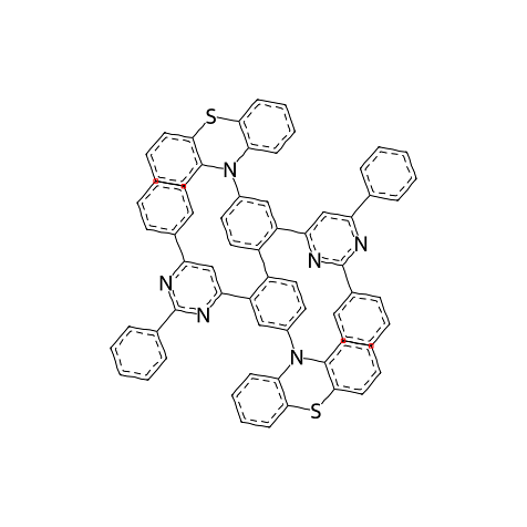 c1ccc(-c2cc(-c3cc(N4c5ccccc5Sc5ccccc54)ccc3-c3ccc(N4c5ccccc5Sc5ccccc54)cc3-c3cc(-c4ccccc4)nc(-c4ccccc4)n3)nc(-c3ccccc3)n2)cc1